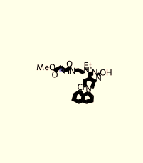 CCN(CCNC(=O)/C=C/C(=O)OC)c1nc(O)nc2c1CCN(c1cccc3cccc(Cl)c13)C2